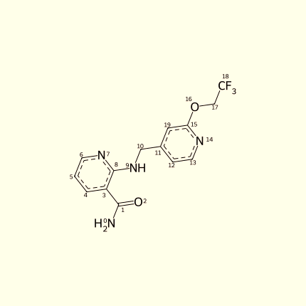 NC(=O)c1cccnc1NCc1ccnc(OCC(F)(F)F)c1